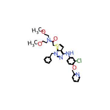 COCCN(CCOC)C(=O)CS1=C2C(=C(Nc3ccc(OCc4ccccn4)c(Cl)c3)N=CN2Cc2ccccc2)C=C1